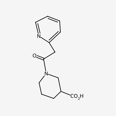 O=C(O)C1CCCN(C(=O)Cc2ccccn2)C1